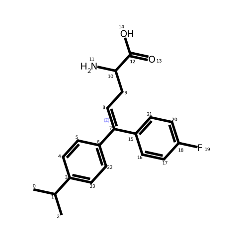 CC(C)c1ccc(/C(=C/CC(N)C(=O)O)c2ccc(F)cc2)cc1